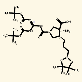 CC(C)(C)OC(=O)/N=C(\NC(=O)OC(C)(C)C)NC(=O)N1C[C@H](CCCB2OC(C)(C)C(C)(C)O2)[C@](N)(C(=O)O)C1